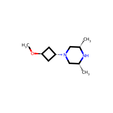 CO[C@H]1C[C@H](N2C[C@@H](C)N[C@@H](C)C2)C1